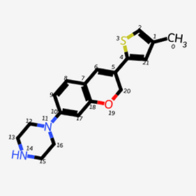 Cc1csc(C2=Cc3ccc(N4CCNCC4)cc3OC2)c1